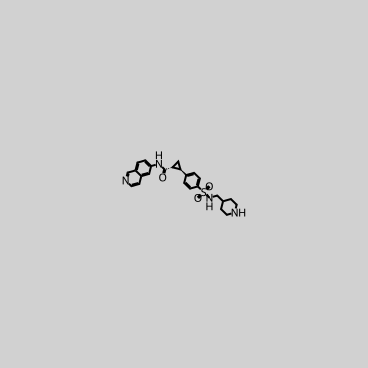 O=C(Nc1ccc2cnccc2c1)[C@@H]1C[C@H]1c1ccc(S(=O)(=O)NCC2CCNCC2)cc1